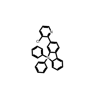 Clc1cccnc1-c1ccc2c(c1)[Si](c1ccccc1)(c1ccccc1)c1ccccc1-2